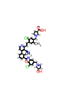 Cc1cc(/C=C/c2nccc(-c3cccc(-c4nc5cc(CN6CC[C@@H](O)C6)cc(Cl)c5o4)c3C)c2C#N)c(Cl)cc1CN1CC[C@@H](C(=O)O)C1